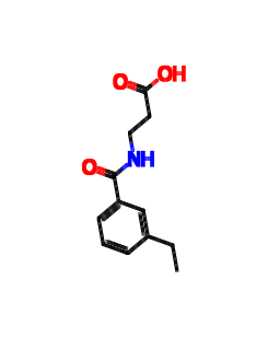 CCc1cccc(C(=O)NCCC(=O)O)c1